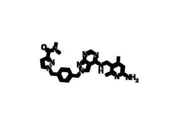 Cc1cc(N)nc(C)c1CNc1ncnc2nn(Cc3ccc(Cn4ccc(C(=O)N(C)C)n4)cc3)cc12